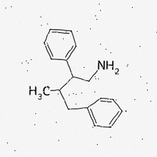 CC(Cc1cc[c]cc1)C(CN)c1ccccc1